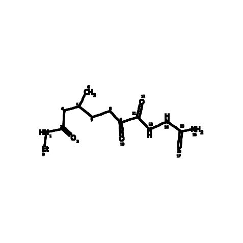 CCNC(=O)CC(C)CCC(=O)C(=O)NNC(N)=S